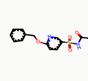 CC(=O)NS(=O)(=O)c1ccc(OCc2ccccc2)nc1